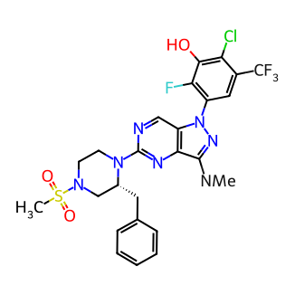 CNc1nn(-c2cc(C(F)(F)F)c(Cl)c(O)c2F)c2cnc(N3CCN(S(C)(=O)=O)C[C@H]3Cc3ccccc3)nc12